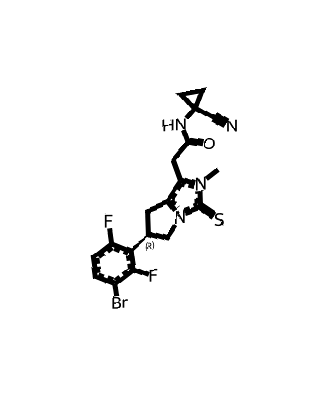 Cn1c(CC(=O)NC2(C#N)CC2)c2n(c1=S)C[C@@H](c1c(F)ccc(Br)c1F)C2